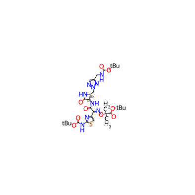 CC(C)(C)OC(=O)NCc1cnn(C[C@@H]2NC(=O)[C@H]2NC(=O)C(=NOC(C)(C)C(=O)OC(C)(C)C)c2csc(NC(=O)OC(C)(C)C)n2)n1